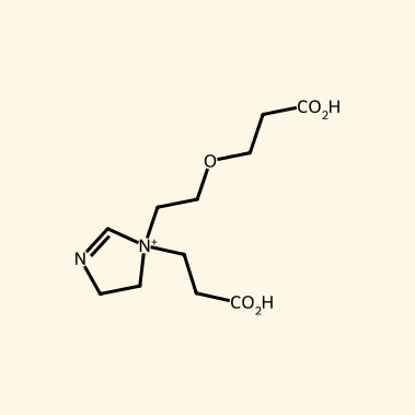 O=C(O)CCOCC[N+]1(CCC(=O)O)C=NCC1